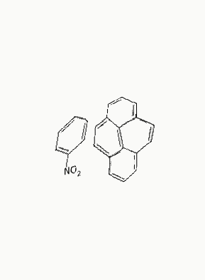 O=[N+]([O-])c1ccccc1.c1cc2ccc3cccc4ccc(c1)c2c34